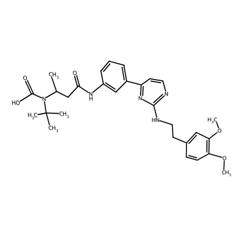 COc1ccc(CCNc2nccc(-c3cccc(NC(=O)CC(C)N(C(=O)O)C(C)(C)C)c3)n2)cc1OC